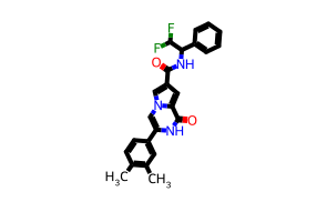 Cc1ccc(-c2cn3cc(C(=O)NC(c4ccccc4)C(F)F)cc3c(=O)[nH]2)cc1C